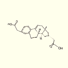 C[C@]12CC=C3c4ccc(CC(=O)O)cc4CC[C@H]3[C@@H]1C[C@@H](CC(=O)O)C2